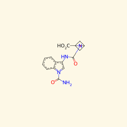 NC(=O)n1cc(NC(=O)N2CC3CC2(C(=O)O)C3)c2ccccc21